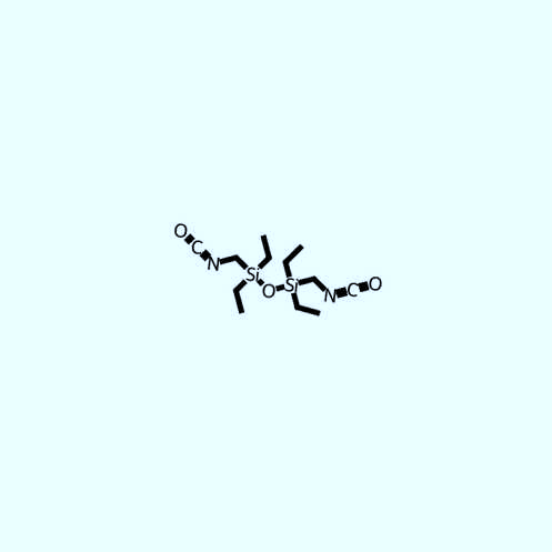 CC[Si](CC)(CN=C=O)O[Si](CC)(CC)CN=C=O